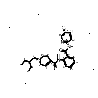 CCC(CC)CN1CC=C(C(=O)Nc2ccccc2C(=O)Nc2ccc(Cl)cn2)CC1